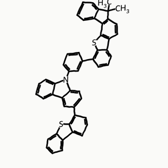 CC1(C)c2ccccc2-c2c1ccc1c2sc2c(-c3cccc(-n4c5ccccc5c5cc(-c6cccc7c6sc6ccccc67)ccc54)c3)cccc21